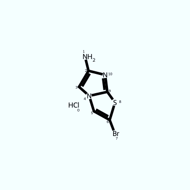 Cl.Nc1cn2cc(Br)sc2n1